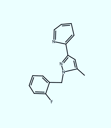 Cc1cc(-c2ccccn2)nn1Cc1ccccc1F